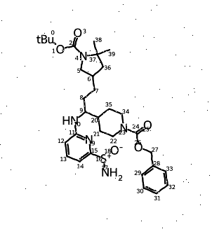 CC(C)(C)OC(=O)N1CC(CCC(Nc2cccc([S+](N)[O-])n2)C2CCN(C(=O)OCc3ccccc3)CC2)CC1(C)C